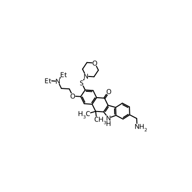 CCN(CC)CCOc1cc2c(cc1SN1CCOCC1)C(=O)c1c([nH]c3cc(CN)ccc13)C2(C)C